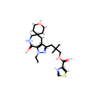 CCn1nc(CC(C)(C)COC(=O)c2cscn2)c2c1C(=O)NCC1(CCOCC1)C2